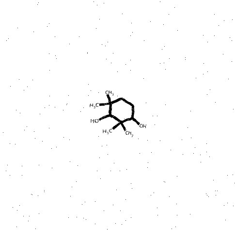 CC1(C)CCC(O)C(C)(C)C1O